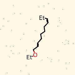 CC/C=C\CCCC/C=C/COCC